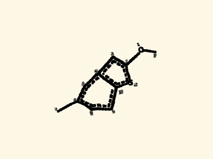 COc1cc2cc(C)ccc2s1